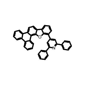 c1ccc(-c2cc(-c3cccc4c3oc3c4ccc4c5ccccc5c5ccccc5c43)cc(-c3ccccc3)n2)cc1